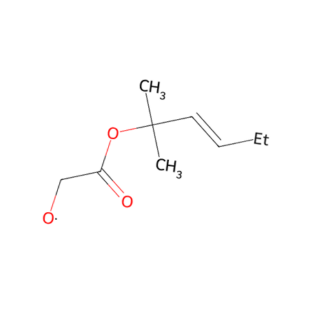 CCC=CC(C)(C)OC(=O)C[O]